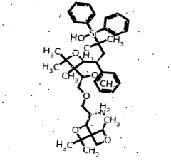 CO[C@@H](COC[C@H](N)[C@@H]1OC(C)(C)C12CO[C@@H]2C)C1(C)[C@H]([C@@H](CC(C)(C)[Si](O)(c2ccccc2)c2ccccc2)c2ccccc2)OC1(C)C